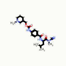 CC(C)CC(NC(=O)c1ccc(NC(=O)OCC2CCCN(C)C2)cc1)C(=O)N(C)C#N